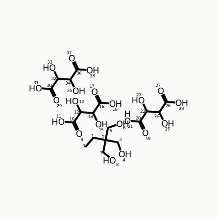 CCC(CO)(CO)CO.O=C(O)C(O)C(O)C(=O)O.O=C(O)C(O)C(O)C(=O)O.O=C(O)C(O)C(O)C(=O)O